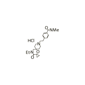 CCN1CC2(CCN(CCc3ccc(C(=O)NC)cc3)CC2)OC2(CC2)C1=O.Cl